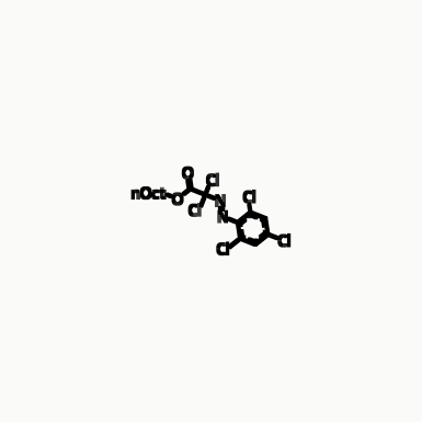 CCCCCCCCOC(=O)C(Cl)(Cl)/N=N/c1c(Cl)cc(Cl)cc1Cl